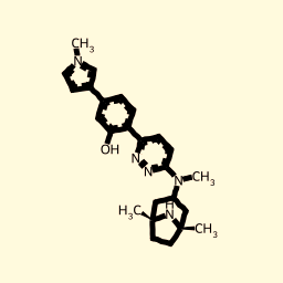 CN(c1ccc(-c2ccc(-c3ccn(C)c3)cc2O)nn1)C1C[C@]2(C)CC[C@](C)(C1)N2